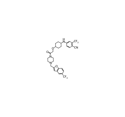 N#Cc1ccc(NC2CCC(OCC(=O)N3CCN(Cc4cc5cc(C(F)(F)F)ccc5o4)CC3)CC2)cc1C(F)(F)F